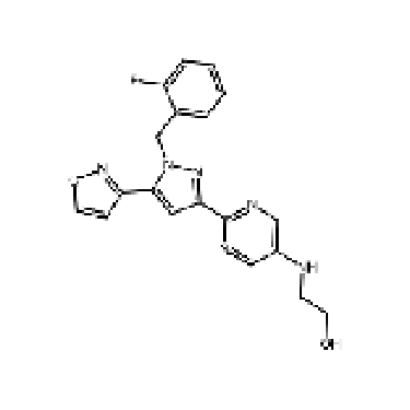 OCCNc1cnc(-c2cc(-c3ccon3)n(Cc3ccccc3F)n2)nc1